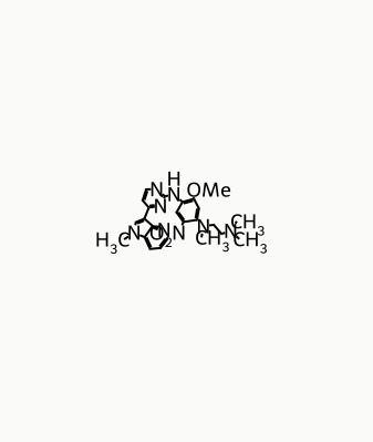 COc1cc(N(C)CCN(C)C)c([N+](=O)[O-])cc1Nc1nccc(-c2cn(C)c3cccnc23)n1